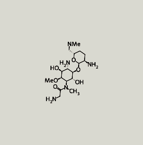 CNC[C@@H]1CC[C@@H](N)[C@@H](O[C@@H]2[C@@H](N)[C@H](O)[C@H](OC)[C@H](N(C)C(=O)CN)[C@H]2O)O1